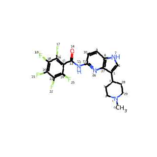 CN1CCC(c2c[nH]c3ccc(NC(=O)c4c(F)c(F)c(F)c(F)c4F)nc23)CC1